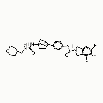 O=C(NCC1CCOCC1)NC12CCC(c3ccc(NC(=O)N4Cc5cc(F)c(F)c(F)c5C4)cc3)(CC1)CC2